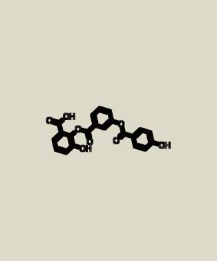 O=C(Oc1cccc(C(=O)Oc2c(O)cccc2C(=O)O)c1)c1ccc(O)cc1